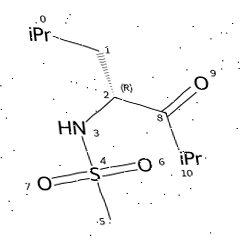 CC(C)C[C@@H](NS(C)(=O)=O)C(=O)C(C)C